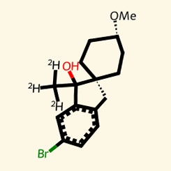 [2H]C([2H])([2H])C1(O)c2cc(Br)ccc2C[C@]12CC[C@@H](OC)CC2